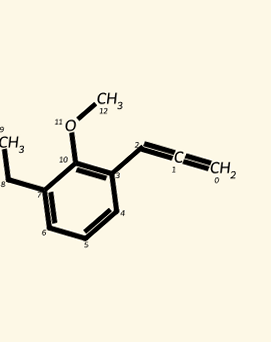 C=C=Cc1cccc(CC)c1OC